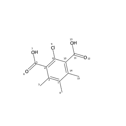 Cc1c(C)c(C(=O)O)c(Cl)c(C(=O)O)c1C